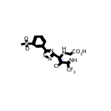 CS(=O)(=O)c1cccc(-c2nc(/C(NCC(=O)O)=C(\Cl)C(=N)C(F)(F)F)ns2)c1